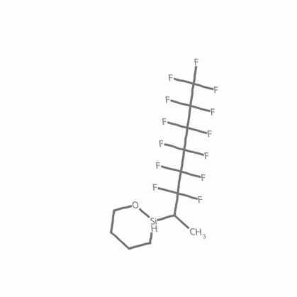 CC([SiH]1CCCCO1)C(F)(F)C(F)(F)C(F)(F)C(F)(F)C(F)(F)C(F)(F)F